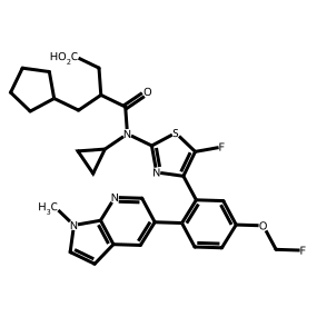 Cn1ccc2cc(-c3ccc(OCF)cc3-c3nc(N(C(=O)C(CC(=O)O)CC4CCCC4)C4CC4)sc3F)cnc21